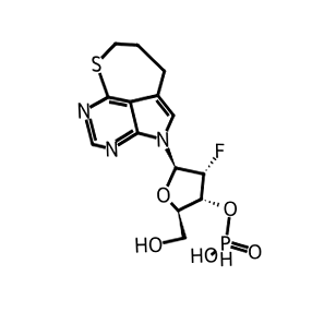 O=[PH](O)O[C@H]1[C@@H](F)[C@H](n2cc3c4c(ncnc42)SCCC3)O[C@@H]1CO